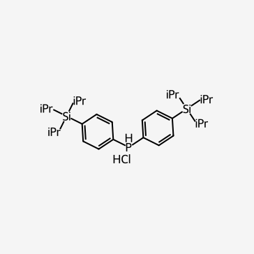 CC(C)[Si](c1ccc(Pc2ccc([Si](C(C)C)(C(C)C)C(C)C)cc2)cc1)(C(C)C)C(C)C.Cl